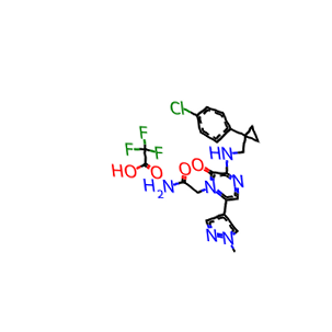 Cn1cc(-c2cnc(NCC3(c4ccc(Cl)cc4)CC3)c(=O)n2CC(N)=O)cn1.O=C(O)C(F)(F)F